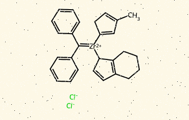 CC1=CC[C]([Zr+2](=[C](c2ccccc2)c2ccccc2)[CH]2C=CC3=C2CCCC3)=C1.[Cl-].[Cl-]